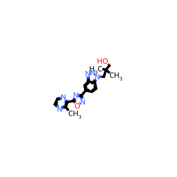 Cc1nccnc1-c1nc(-c2ccc3c(c2)nnn3CC(C)(C)CO)no1